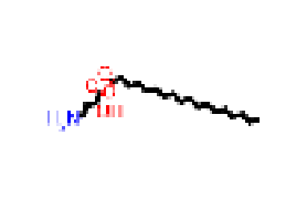 CCCCCCCCCCCCCCCCCC(=O)OC(=O)C(O)CCN